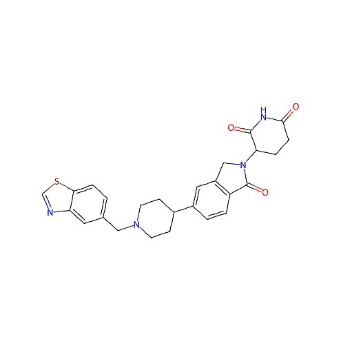 O=C1CCC(N2Cc3cc(C4CCN(Cc5ccc6scnc6c5)CC4)ccc3C2=O)C(=O)N1